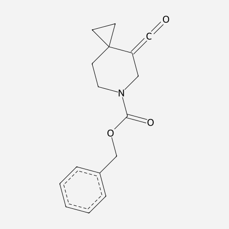 O=C=C1CN(C(=O)OCc2ccccc2)CCC12CC2